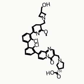 COC1=NC(c2cccc(-c3cccc(-c4ccn5c(=O)c(CN6CC[C@H](C(=O)O)C6)cnc5c4)c3Cl)c2Cl)=CCC1CN1CC(CO)C1